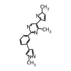 Cc1nc(-c2cccc(-c3cnn(C)c3)c2)ncc1C1=NC(C)C=C1